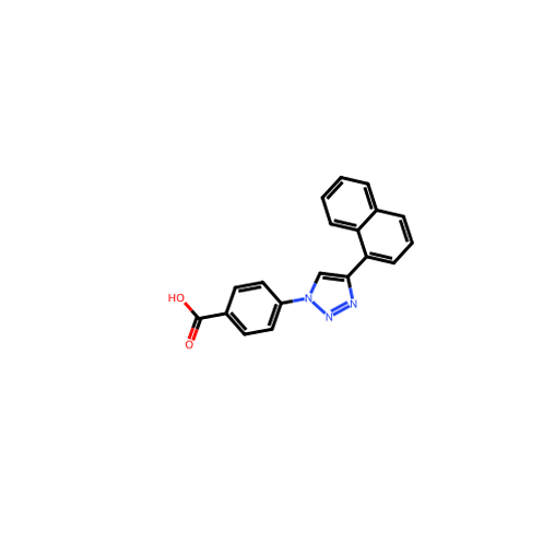 O=C(O)c1ccc(-n2cc(-c3cccc4ccccc34)nn2)cc1